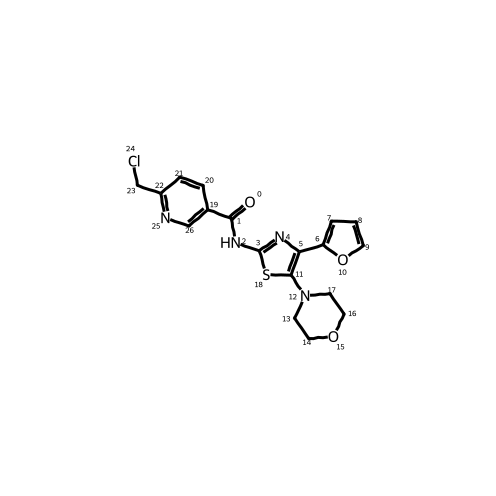 O=C(Nc1nc(-c2ccco2)c(N2CCOCC2)s1)c1ccc(CCl)nc1